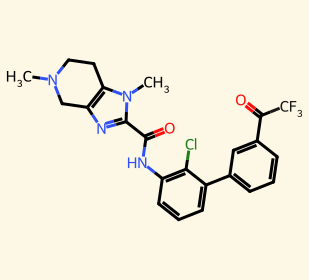 CN1CCc2c(nc(C(=O)Nc3cccc(-c4cccc(C(=O)C(F)(F)F)c4)c3Cl)n2C)C1